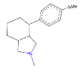 CSc1ccc(C2CCCC3CN(C)CC32)cc1